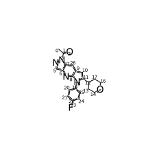 CC(=O)n1ncc2nc3c(cc(C4CCOCC4)n3-c3ccc(F)cc3)cc21